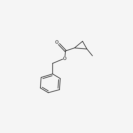 CC1CC1C(=O)OCc1ccccc1